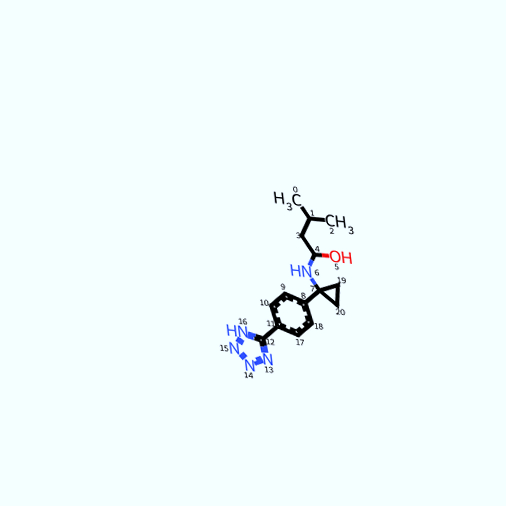 CC(C)CC(O)NC1(c2ccc(-c3nnn[nH]3)cc2)CC1